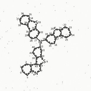 c1ccc2c(c1)ncc1sc3cc(N(c4ccc5c(c4)sc4ccccc45)c4ccc5c(c4)sc4ccccc45)ccc3c12